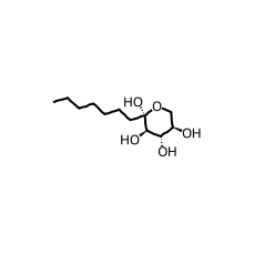 CCCCCCC[C@@]1(O)OC[C@@H](O)[C@H](O)[C@H]1O